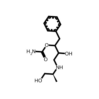 C[C@@H](CO)NCC(O)C(Cc1ccccc1)OC(N)=O